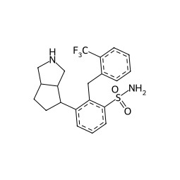 NS(=O)(=O)c1cccc(C2CCC3CNCC32)c1Cc1ccccc1C(F)(F)F